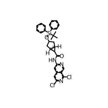 CC(C)(C)[Si](OC1C[C@@H]2C(C(=O)Nc3cc4cc(Cl)nc(Cl)c4cn3)[C@@H]2C1)(c1ccccc1)c1ccccc1